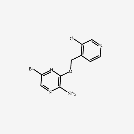 Nc1ncc(Br)nc1OCc1ccncc1Cl